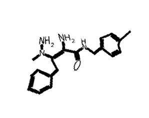 Cc1ccc(CNC(=O)/C(N)=C(\Cc2ccccc2)N(C)N)cc1